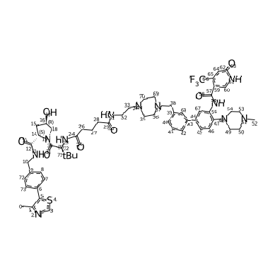 Cc1ncsc1-c1ccc(CNC(=O)[C@@H]2C[C@@H](O)CN2C(=O)[C@@H](NC(=O)CCCC(=O)NCCN2CCN(Cc3cccc(-c4ccc(N5CCN(C)CC5)c(NC(=O)c5c[nH]c(=O)cc5C(F)(F)F)c4)c3)CC2)C(C)(C)C)cc1